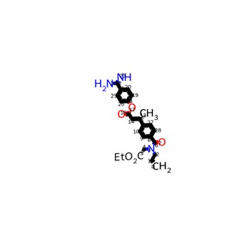 C=CCN(CC(=O)OCC)C(=O)c1ccc(C(C)=CC(=O)Oc2ccc(C(=N)N)cc2)cc1